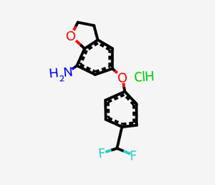 Cl.Nc1cc(Oc2ccc(C(F)F)cc2)cc2c1OCC2